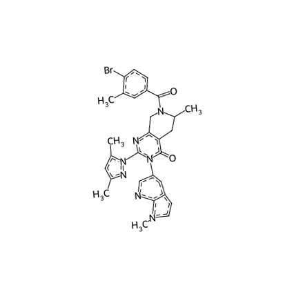 Cc1cc(C)n(-c2nc3c(c(=O)n2-c2cnc4c(ccn4C)c2)CC(C)N(C(=O)c2ccc(Br)c(C)c2)C3)n1